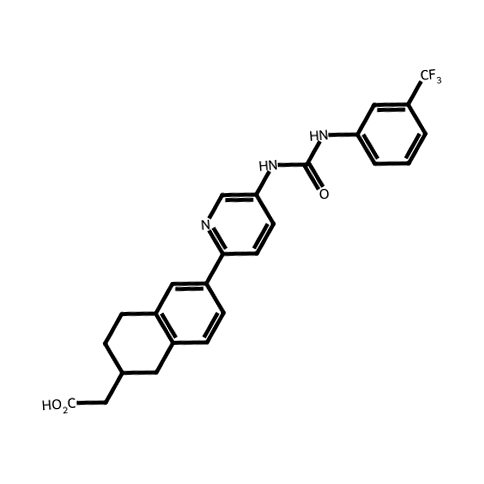 O=C(O)CC1CCc2cc(-c3ccc(NC(=O)Nc4cccc(C(F)(F)F)c4)cn3)ccc2C1